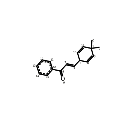 CC1(C)C=CC(/C=C/C(=O)c2ccccc2)C=C1